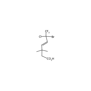 CC(C)(/C=C/C(Cl)(Br)C(F)(F)F)CC(=O)O